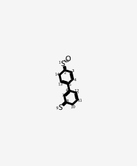 O=S=C1C=CC(C2=CC(=S)CC=[C]2)=CC1